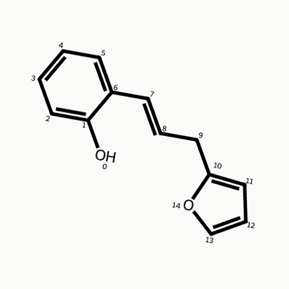 Oc1ccccc1/C=C/Cc1ccco1